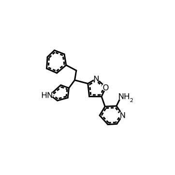 Nc1ncccc1-c1cc(C(Cc2ccccc2)c2cc[nH]c2)no1